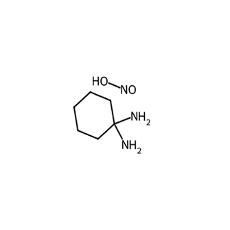 NC1(N)CCCCC1.O=NO